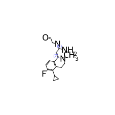 CN1CCc2c(ccc(F)c2C2CC2)/C1=C/C(N)=N\CC=O